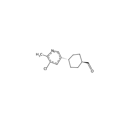 Cc1ncc([C@H]2CC[C@H](C=O)CC2)cc1Cl